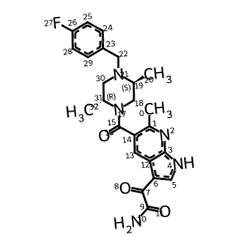 Cc1nc2[nH]cc(C(=O)C(N)=O)c2cc1C(=O)N1C[C@H](C)N(Cc2ccc(F)cc2)C[C@H]1C